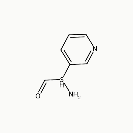 N[SH](C=O)c1cccnc1